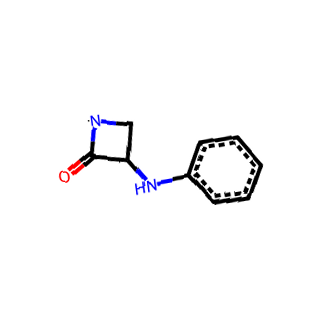 O=C1[N]CC1Nc1ccccc1